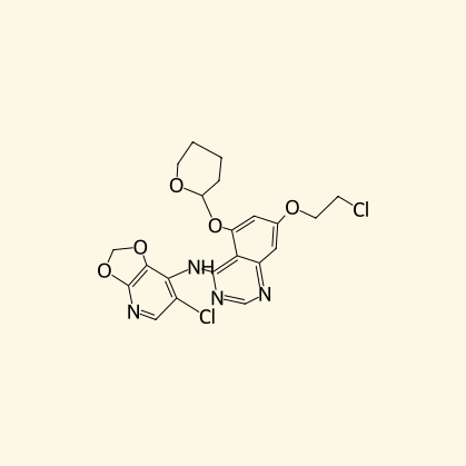 ClCCOc1cc(OC2CCCCO2)c2c(Nc3c(Cl)cnc4c3OCO4)ncnc2c1